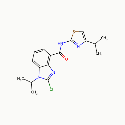 CC(C)c1csc(NC(=O)c2cccc3c2nc(Cl)n3C(C)C)n1